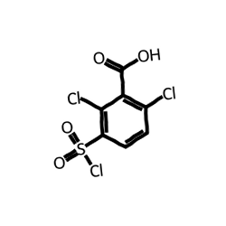 O=C(O)c1c(Cl)ccc(S(=O)(=O)Cl)c1Cl